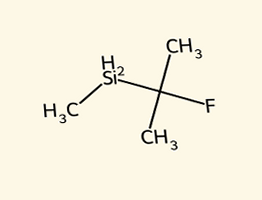 C[SiH2]C(C)(C)F